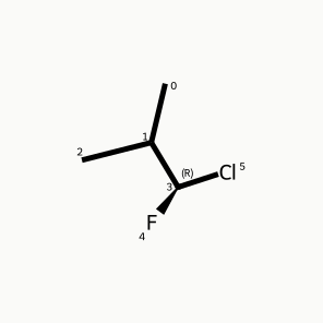 CC(C)[C@H](F)Cl